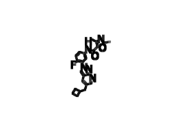 Cc1nc(C)c(C(=O)Nc2ccc(F)c(-n3cc4cc(CC5CCC5)cnc4n3)c2)o1